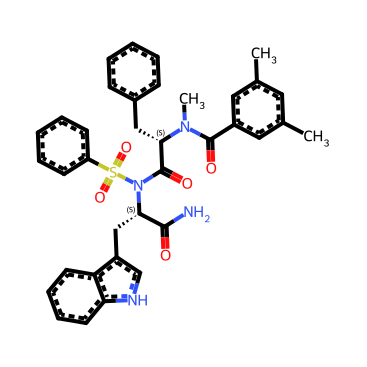 Cc1cc(C)cc(C(=O)N(C)[C@@H](Cc2ccccc2)C(=O)N([C@@H](Cc2c[nH]c3ccccc23)C(N)=O)S(=O)(=O)c2ccccc2)c1